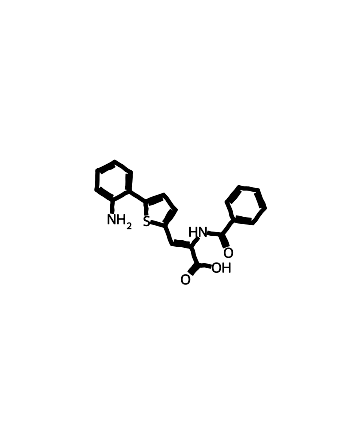 Nc1ccccc1-c1ccc(/C=C(\NC(=O)c2ccccc2)C(=O)O)s1